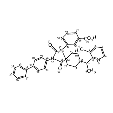 Cc1cccnc1C(C)N1CCC2(CC1)C(=O)N(c1ccc(-c3ccccc3)cc1)C(=O)N2c1cc(C(=O)O)ccn1